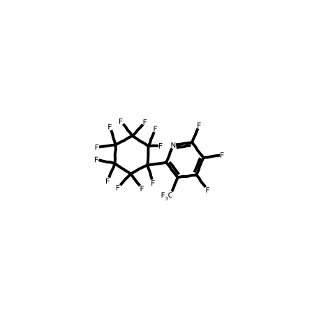 Fc1nc(C2(F)C(F)(F)C(F)(F)C(F)(F)C(F)(F)C2(F)F)c(C(F)(F)F)c(F)c1F